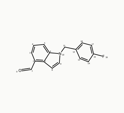 O=Cc1cccc2c1ccn2Cc1ccc(F)cc1